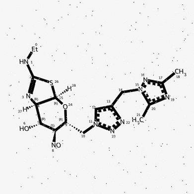 CCNC1=N[C@@H]2[C@@H](O)[C@H](N=O)[C@@H](Cn3cc(Cn4nc(C)nc4C)nn3)O[C@@H]2S1